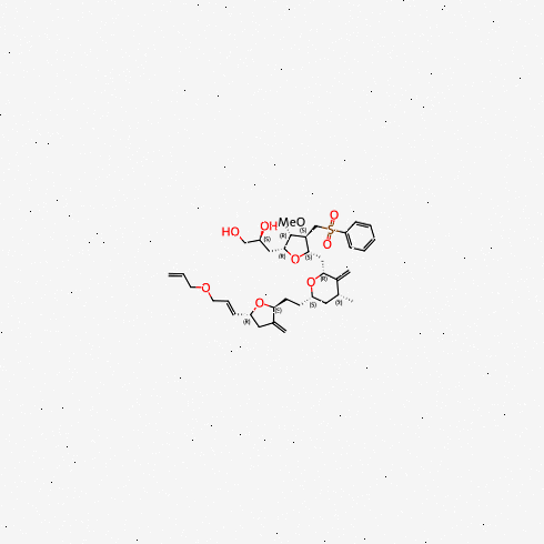 C=CCOCC=C[C@H]1CC(=C)[C@H](CC[C@H]2C[C@@H](C)C(=C)[C@@H](C[C@@H]3O[C@H](C[C@H](O)CO)[C@H](OC)[C@H]3CS(=O)(=O)c3ccccc3)O2)O1